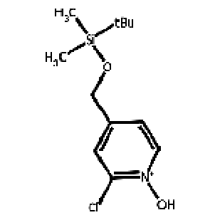 CC(C)(C)[Si](C)(C)OCc1cc[n+](O)c(Cl)c1